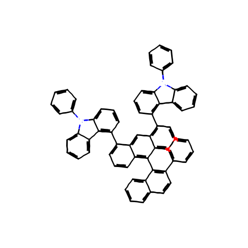 c1ccc(-c2ccc3ccccc3c2-c2c3cccc(-c4cccc5c4c4ccccc4n5-c4ccccc4)c3cc3c(-c4cccc5c4c4ccccc4n5-c4ccccc4)cccc23)cc1